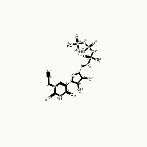 N#CCn1cc([C@@H]2O[C@H](COP(=O)(O)OP(=O)(O)OP(=O)(O)O)C(O)C2O)c(=O)[nH]c1=O